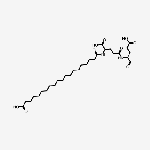 O=C[C@H](CCC(=O)O)NC(=O)CCC(NC(=O)CCCCCCCCCCCCCCCCCCC(=O)O)C(=O)O